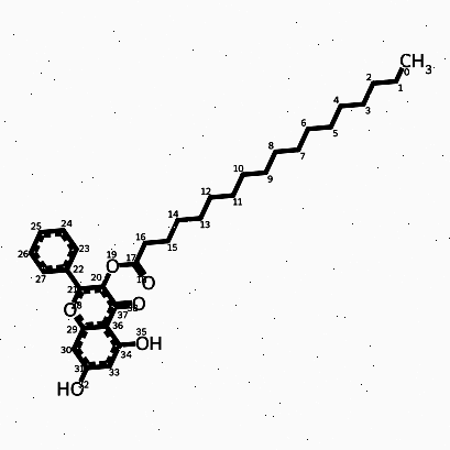 CCCCCCCCCCCCCCCCCC(=O)Oc1c(-c2ccccc2)oc2cc(O)cc(O)c2c1=O